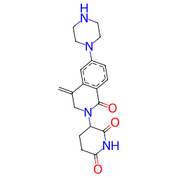 C=C1CN(C2CCC(=O)NC2=O)C(=O)c2ccc(N3CCNCC3)cc21